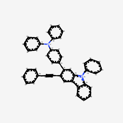 C(#Cc1cc2c3ccccc3n(-c3ccccc3)c2cc1-c1ccc(N(c2ccccc2)c2ccccc2)cc1)c1ccccc1